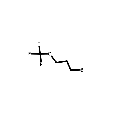 FC(F)(F)OCCCBr